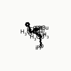 CC(C)OCCCCCC(=O)C(C)(C)OCCCC(CS(=O)(=O)C(C)(C)COC(C)(C)C)C(=O)C(C)(C)OCc1ccccc1